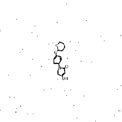 O=c1cc(O)ccn1-c1ccc(OC2CCCCO2)cc1